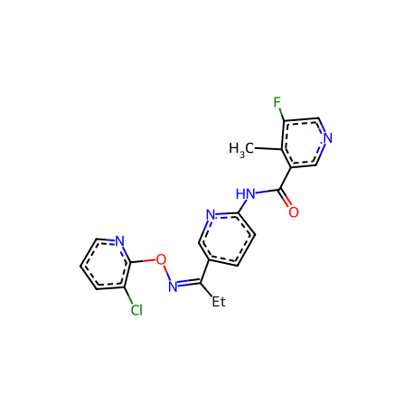 CCC(=NOc1ncccc1Cl)c1ccc(NC(=O)c2cncc(F)c2C)nc1